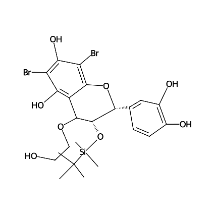 CC(C)(C)[Si](C)(C)O[C@@H]1C(OCCO)c2c(O)c(Br)c(O)c(Br)c2O[C@@H]1c1ccc(O)c(O)c1